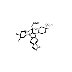 COCC(C)(C)c1c([C@H]2CC[C@](F)(C(=O)O)CC2)c2cc3[nH]ncc3cc2n1-c1ccc(F)c(F)c1